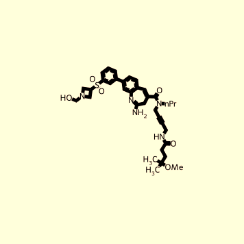 CCCN(CC#CCNC(=O)CCC(C)(C)OC)C(=O)C1=Cc2ccc(-c3cccc(S(=O)(=O)C4CN(CO)C4)c3)cc2N=C(N)C1